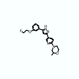 CC1CN(c2ccc(-c3cc(-c4cccc(OCCF)c4)[nH]n3)cn2)CCO1